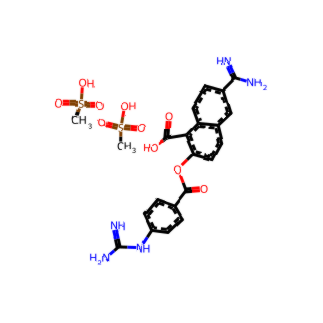 CS(=O)(=O)O.CS(=O)(=O)O.N=C(N)Nc1ccc(C(=O)Oc2ccc3cc(C(=N)N)ccc3c2C(=O)O)cc1